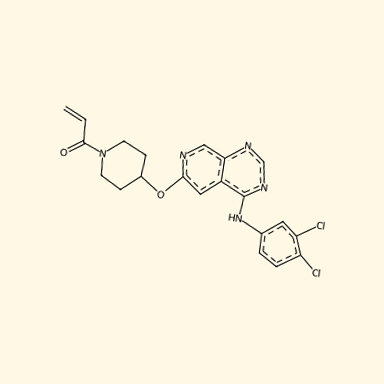 C=CC(=O)N1CCC(Oc2cc3c(Nc4ccc(Cl)c(Cl)c4)ncnc3cn2)CC1